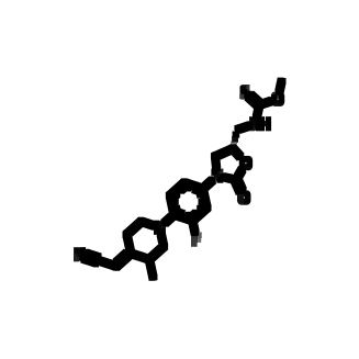 COC(=S)NC[C@H]1CN(c2ccc(N3CC/C(=C\C#N)C(C)C3)c(F)c2)C(=O)O1